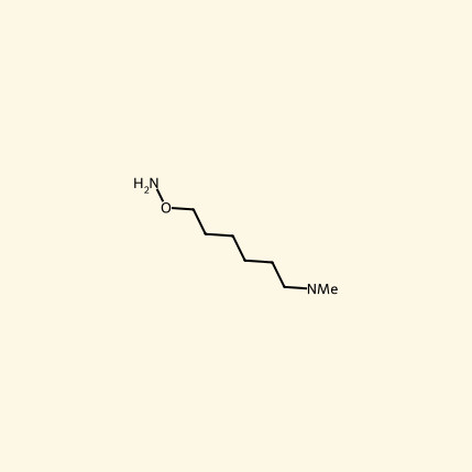 CNCCCCCCON